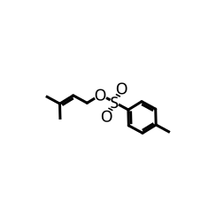 CC(C)=CCOS(=O)(=O)c1ccc(C)cc1